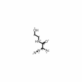 CC(=O)C(=[N+]=[N-])C(=O)NCCO